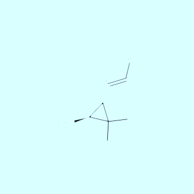 CC1(C)[C@@H](C=CC(F)(F)F)[C@@H]1C(=O)O